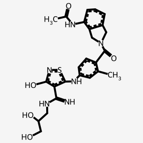 CC(=O)Nc1cccc2c1CN(C(=O)c1ccc(Nc3snc(O)c3C(=N)NCC(O)CO)cc1C)C2